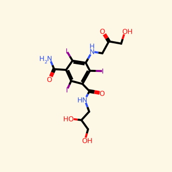 NC(=O)c1c(I)c(NCC(=O)CO)c(I)c(C(=O)NCC(O)CO)c1I